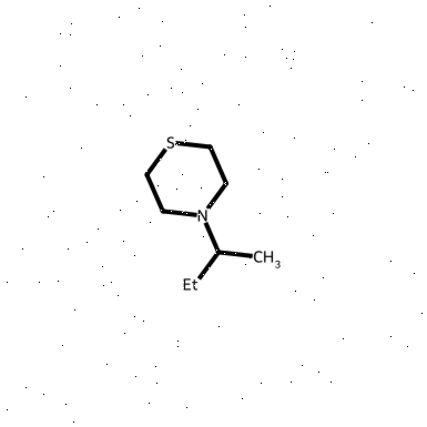 CCC(C)N1CCSCC1